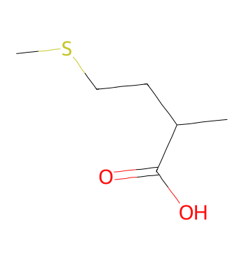 CSCCC(C)C(=O)O